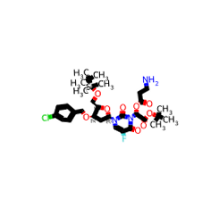 CC(C)(C)OC(=O)C(OC(=O)CCN)n1c(=O)c(F)cn([C@H]2C[C@H](OCc3ccc(Cl)cc3)[C@@H](CO[Si](C)(C)C(C)(C)C)O2)c1=O